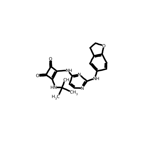 CC(C)(C)Nc1c(Nc2ccnc(Nc3ccc4c(c3)CCO4)n2)c(=O)c1=O